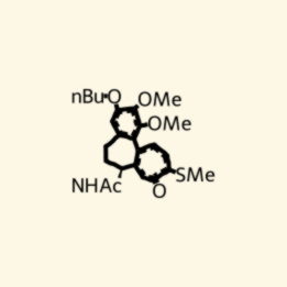 CCCCOc1cc2c(c(OC)c1OC)-c1ccc(SC)c(=O)cc1[C@@H](NC(C)=O)CC2